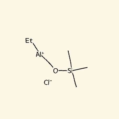 C[CH2][Al+][O][Si](C)(C)C.[Cl-]